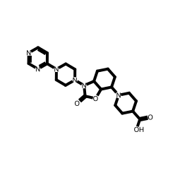 O=C(O)C1CCN(C2CCCC3C2OC(=O)N3N2CCN(c3ccncn3)CC2)CC1